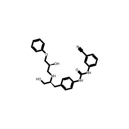 N#Cc1cccc(NC(=O)Nc2ccc(C[C@@H](CO)NC[C@H](O)COc3ccccc3)cc2)c1